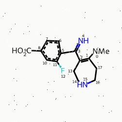 CNC1=C(C(=N)c2ccc(C(=O)O)cc2F)CCNCC1